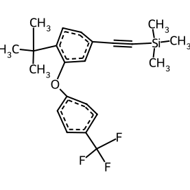 CC(C)(C)c1ccc(C#C[Si](C)(C)C)cc1Oc1ccc(C(F)(F)F)cc1